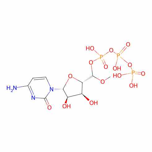 COC(OP(=O)(O)OP(=O)(O)OP(=O)(O)O)[C@H]1O[C@@H](n2ccc(N)nc2=O)[C@H](O)[C@@H]1O